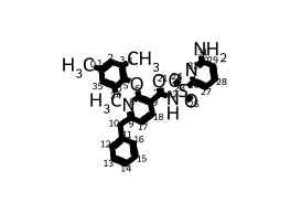 Cc1cc(C)c(Oc2nc(Cc3ccccc3)ccc2C(=O)NS(=O)(=O)c2cccc(N)n2)c(C)c1